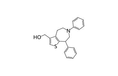 OCc1csc2c1CCN(c1ccccc1)CC2c1ccccc1